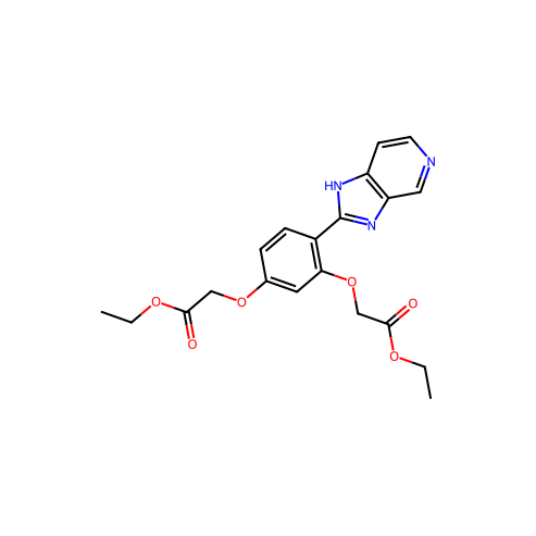 CCOC(=O)COc1ccc(-c2nc3cnccc3[nH]2)c(OCC(=O)OCC)c1